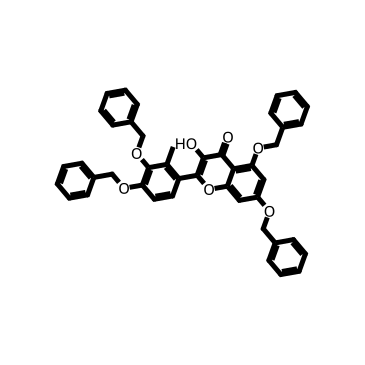 Cc1c(-c2oc3cc(OCc4ccccc4)cc(OCc4ccccc4)c3c(=O)c2O)ccc(OCc2ccccc2)c1OCc1ccccc1